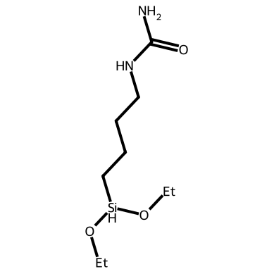 CCO[SiH](CCCCNC(N)=O)OCC